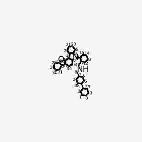 c1ccc(-c2ccc(CNCc3ccccc3-n3c4ccccc4c4c5oc6ccccc6c5ccc43)cc2)cc1